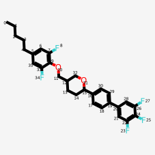 CCCCCc1cc(F)c(OCC2CCC(c3ccc(-c4cc(F)c(F)c(F)c4)cc3)OC2)c(F)c1